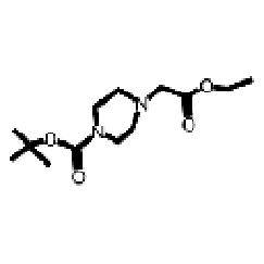 CCOC(=O)CN1CCN(C(=O)OC(C)(C)C)CC1